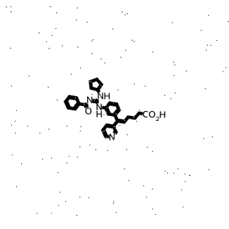 O=C(O)CCCC=C(c1cccnc1)c1cccc(NC(=NC(=O)c2ccccc2)NC2CCCC2)c1